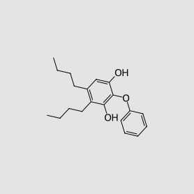 CCCCc1cc(O)c(Oc2ccccc2)c(O)c1CCCC